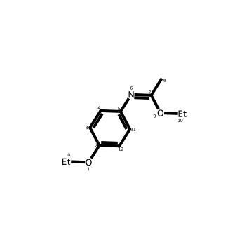 CCOc1ccc(N=C(C)O[14CH2]C)cc1